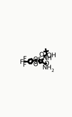 CC(C)(C)C(O)C(=O)Nc1sc(S(=O)(=O)c2ccc(C(F)(F)F)cc2)cc1C(N)=O